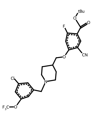 CC(C)(C)OC(=O)c1cc(C#N)c(OCC2CCN(Cc3cc(Cl)cc(OC(F)(F)F)c3)CC2)cc1F